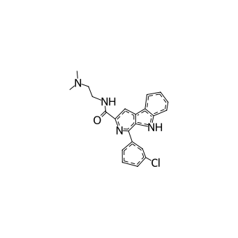 CN(C)CCNC(=O)c1cc2c([nH]c3ccccc32)c(-c2cccc(Cl)c2)n1